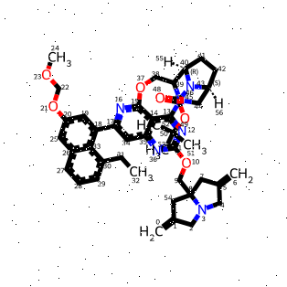 C=C1CN2CC(=C)CC2(COc2nc3c4c(nc(-c5cc(OCOC)cc6cccc(CC)c56)cc4n2)OCC2[C@H]4CC[C@@H](CN32)N4C(=O)OC(C)(C)C)C1